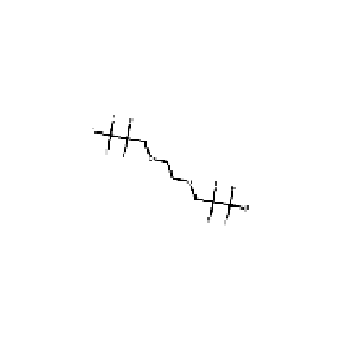 FC(F)(F)C(F)(F)COCCOCC(F)(F)C(F)(F)F